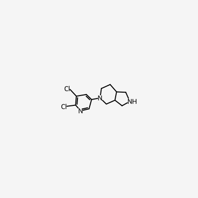 Clc1cc(N2CCC3CNCC3C2)cnc1Cl